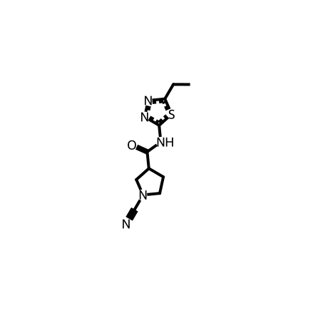 CCc1nnc(NC(=O)C2CCN(C#N)C2)s1